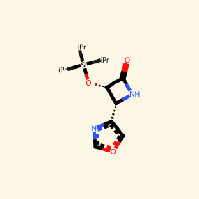 CC(C)[Si](O[C@@H]1C(=O)N[C@@H]1c1cocn1)(C(C)C)C(C)C